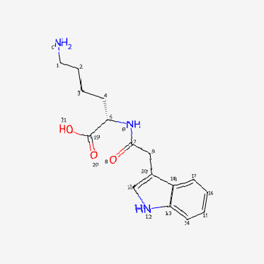 NCCCC[C@H](NC(=O)Cc1c[nH]c2ccccc12)C(=O)O